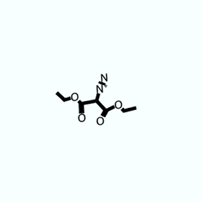 CCOC(=O)C([N+]#N)C(=O)OCC